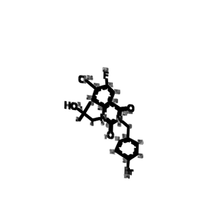 CC(C)(O)Cn1c(=O)n(Cc2ccc(Br)cc2)c(=O)c2cc(F)c(Cl)cc21